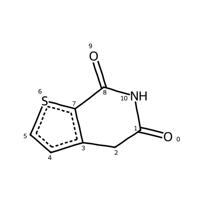 O=C1Cc2ccsc2C(=O)N1